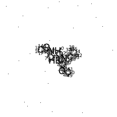 Cc1cc(-c2cccc3c2[nH]c2oc4ccccc4c23)c2c(c1)N(c1cc3c(cc1C)C(C)(C)CCC3(C)C)c1cc3c(cc1B2)oc1ccccc13